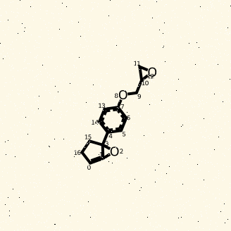 C1=C2OC2(c2ccc(OCC3CO3)cc2)CC1